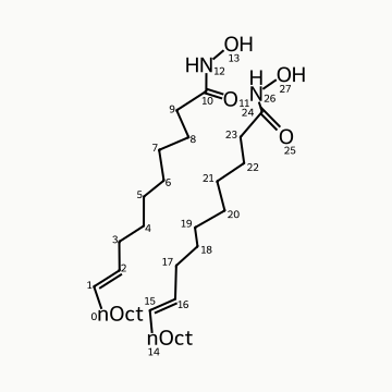 CCCCCCCCC=CCCCCCCCC(=O)NO.CCCCCCCCC=CCCCCCCCC(=O)NO